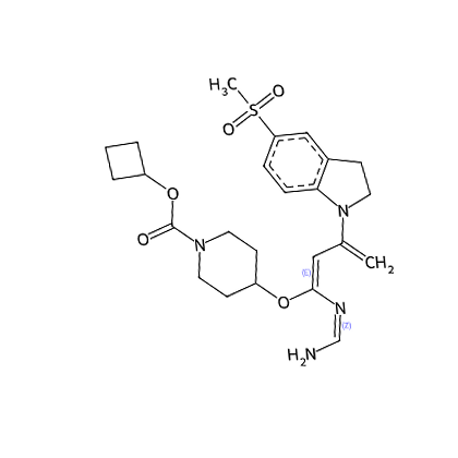 C=C(/C=C(\N=C/N)OC1CCN(C(=O)OC2CCC2)CC1)N1CCc2cc(S(C)(=O)=O)ccc21